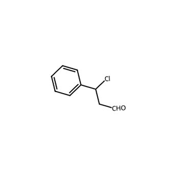 O=CCC(Cl)c1ccccc1